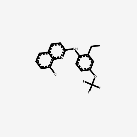 CCc1cc(OC(F)(F)F)ccc1Nc1ccc2cccc(Cl)c2n1